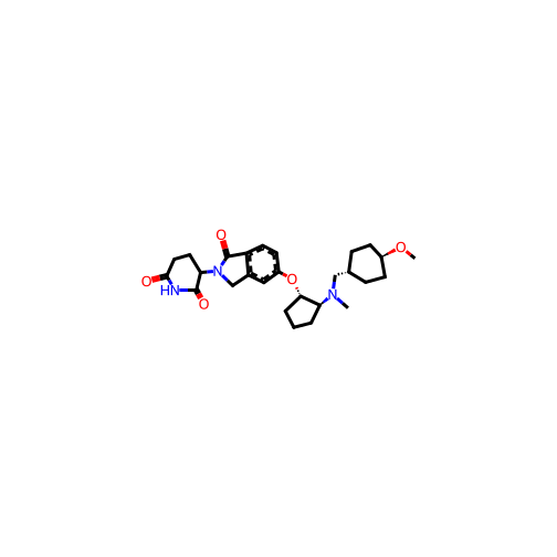 CO[C@H]1CC[C@H](CN(C)[C@H]2CCC[C@@H]2Oc2ccc3c(c2)CN(C2CCC(=O)NC2=O)C3=O)CC1